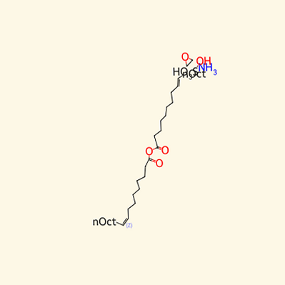 C1CO1.CCCCCCCCC=CCCCCCCCC(=O)OC(=O)CCCCCCC/C=C\CCCCCCCC.N.O=S(=O)(O)O